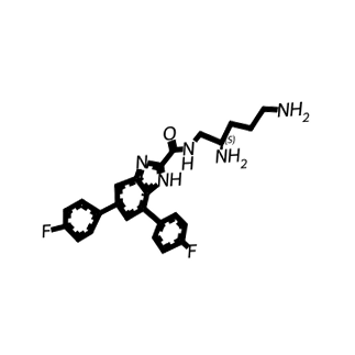 NCCC[C@H](N)CNC(=O)c1nc2cc(-c3ccc(F)cc3)cc(-c3ccc(F)cc3)c2[nH]1